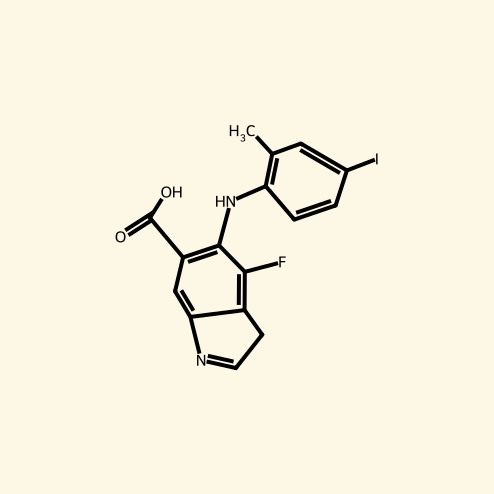 Cc1cc(I)ccc1Nc1c(C(=O)O)cc2c(c1F)CC=N2